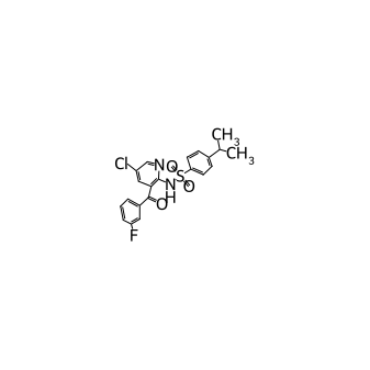 CC(C)c1ccc(S(=O)(=O)Nc2ncc(Cl)cc2C(=O)c2cccc(F)c2)cc1